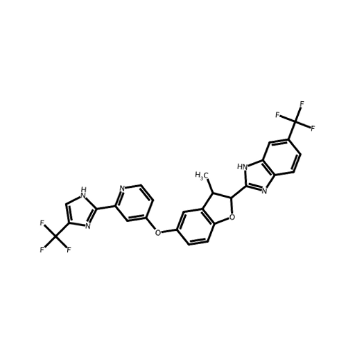 CC1c2cc(Oc3ccnc(-c4nc(C(F)(F)F)c[nH]4)c3)ccc2OC1c1nc2ccc(C(F)(F)F)cc2[nH]1